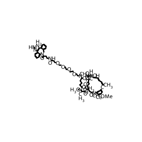 COc1cc2cc(c1Cl)N(C)C(=O)C[C@H](OC(=O)[C@H](C)N(C)C(=O)CCCC(=O)N(C)CCOCCOCCOCCOCCC(=O)NCCC(=O)N1Cc3ccccc3/C(N)=C(/N=N)c3ccccc31)[C@@]1(C)CC(O1)[C@@H]1CC(NC(=O)O1)[C@H](OC)/C=C/C=C(/C)C2